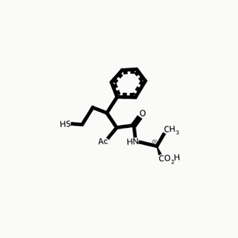 CC(=O)C(C(=O)N[C@@H](C)C(=O)O)C(CCS)c1ccccc1